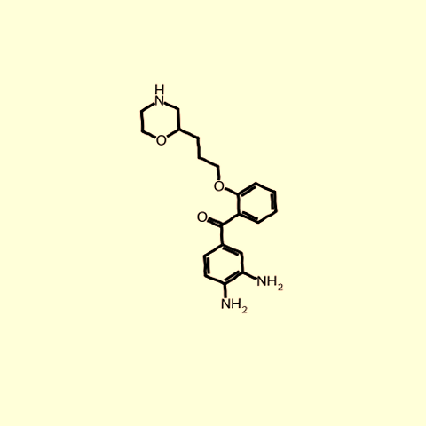 Nc1ccc(C(=O)c2ccccc2OCCCC2CNCCO2)cc1N